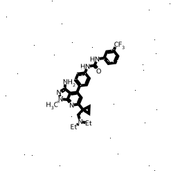 CCN(CC)CC1(c2cc(-c3ccc(NC(=O)Nc4cccc(C(F)(F)F)c4)cc3)c3c(N)nn(C)c3n2)CC1